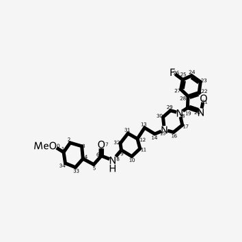 COC1CCC(CC(=O)NC2CCC(CCN3CCN(c4noc5ccc(F)cc45)CC3)CC2)CC1